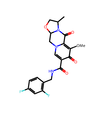 COc1c2n(cc(C(=O)NCc3ccc(F)cc3F)c1=O)CC1OCC(C)N1C2=O